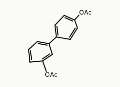 CC(=O)Oc1ccc(-c2cccc(OC(C)=O)c2)cc1